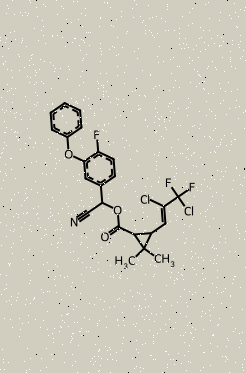 CC1(C)C(C=C(Cl)C(F)(F)Cl)C1C(=O)OC(C#N)c1ccc(F)c(Oc2ccccc2)c1